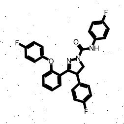 O=C(Nc1ccc(F)cc1)N1CC(c2ccc(F)cc2)C(c2ccccc2Oc2ccc(F)cc2)=N1